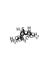 CCN1C(CC2(C)CN(C(=O)OC(C)(C)C)CCN2CC)CNCC1(C)C